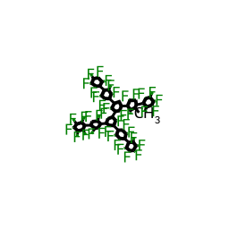 Cc1c(F)c(-c2cc(-c3c(F)c(F)c(-c4c(F)c(F)c(F)c(F)c4F)c(F)c3F)c(F)c(-c3c(F)c(-c4c(F)c(F)c(-c5c(F)c(F)c(F)c(F)c5F)c(F)c4F)c(F)c(-c4c(F)c(F)c(-c5c(F)c(F)c(F)c(F)c5F)c(F)c4F)c3F)c2F)c(F)c(F)c1-c1c(F)c(F)c(F)c(F)c1F